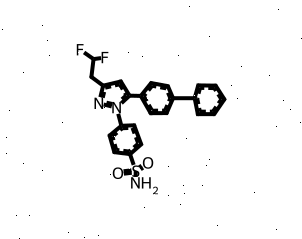 NS(=O)(=O)c1ccc(-n2nc(CC(F)F)cc2-c2ccc(-c3ccccc3)cc2)cc1